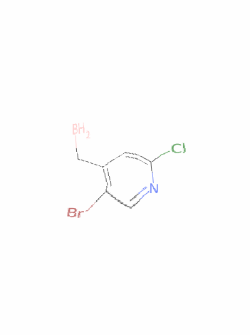 BCc1cc(Cl)ncc1Br